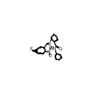 O=C(Nc1ccccc1)c1ccccc1N=Cc1cc(F)ccc1[N+](=O)[O-]